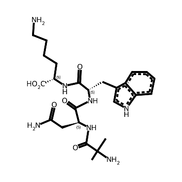 CC(C)(N)C(=O)N[C@@H](CC(N)=O)C(=O)N[C@@H](Cc1c[nH]c2ccccc12)C(=O)N[C@@H](CCCCN)C(=O)O